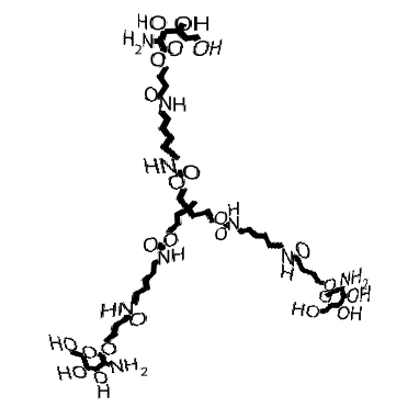 CC(CCCOC(=O)NCCCCCCNC(=O)CCCOC1OC(CO)C(O)C(O)C1N)(CCCOC(=O)NCCCCCCNC(=O)CCCOC1OC(CO)C(O)C(O)C1N)CCOC(=O)NCCCCCCNC(=O)CCCOC1OC(CO)C(O)C(O)C1N